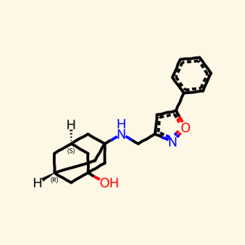 OC12C[C@H]3C[C@@H](C1)CC(NCc1cc(-c4ccccc4)on1)(C3)C2